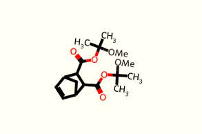 COC(C)(C)OC(=O)C1C2C=CC(C2)C1C(=O)OC(C)(C)OC